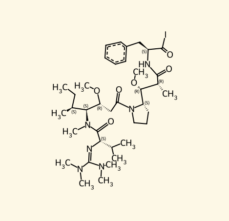 CC[C@H](C)[C@@H]([C@@H](CC(=O)N1CCC[C@H]1[C@H](OC)[C@@H](C)C(=O)N[C@@H](Cc1ccccc1)C(=O)I)OC)N(C)C(=O)[C@@H](N=C(N(C)C)N(C)C)C(C)C